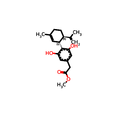 C=C(C)[C@@H]1CCC(C)=C[C@H]1c1c(O)cc(CC(=O)OC)cc1O